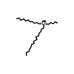 CCCCCCCCCCCCCCCC1N(CCCCC)C=CN1CCCCCCCCCCC